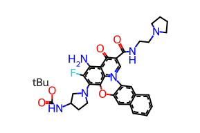 CC(C)(C)OC(=O)NC1CCN(c2c(F)c(N)c3c(=O)c(C(=O)NCCN4CCCC4)cn4c3c2Oc2cc3ccccc3cc2-4)C1